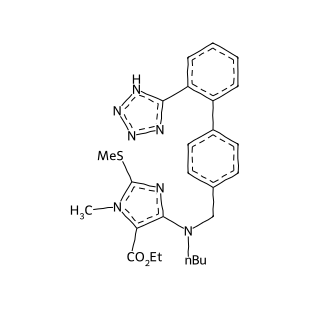 CCCCN(Cc1ccc(-c2ccccc2-c2nnn[nH]2)cc1)c1nc(SC)n(C)c1C(=O)OCC